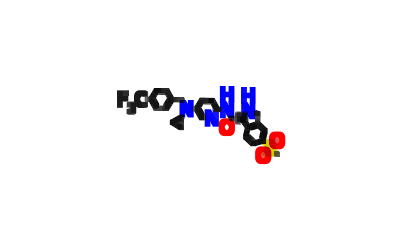 CS(=O)(=O)c1ccc2c(c1)CN[C@H]2C(=O)Nc1ccc(N(Cc2ccc(C(F)(F)F)cc2)C2CC2)cn1